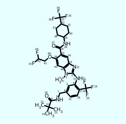 Cn1c(Nc2cc(CNC(=O)C(C)(C)C)ccc2C(F)(F)F)nc2cc(C(=O)NC3CCC(C(F)(F)F)CC3)c(OCC(F)F)cc21